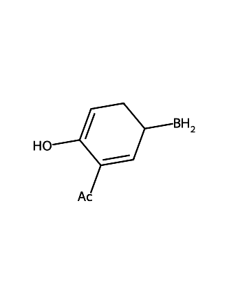 BC1C=C(C(C)=O)C(O)=CC1